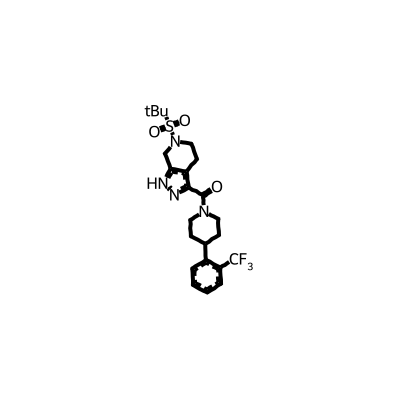 CC(C)(C)S(=O)(=O)N1CCc2c(C(=O)N3CCC(c4ccccc4C(F)(F)F)CC3)n[nH]c2C1